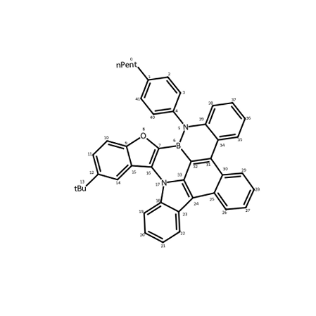 CCCCCc1ccc(N2B3c4oc5ccc(C(C)(C)C)cc5c4-n4c5ccccc5c5c6ccccc6c(c3c54)-c3ccccc32)cc1